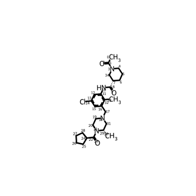 CC(=O)N1CCC[C@H](C(=O)Nc2cc(Cl)cc(CN3CCN(C(=O)C4CCCC4)[C@@H](C)C3)c2C)C1